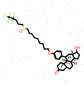 C[C@]12CCC(=O)CC1CC[C@@H]1[C@H]2C(c2ccc(OCCCCCCCCC[S+]([O-])CCCC(F)(F)C(F)(F)F)cc2)C[C@]2(C)C(O)CC[C@@H]12